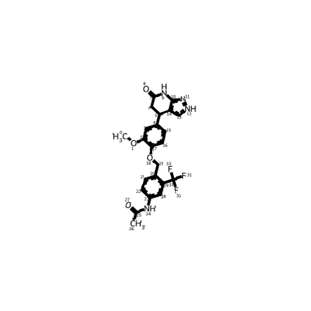 COc1cc(C2CC(=O)Nc3n[nH]cc32)ccc1OCc1ccc(NC(C)=O)cc1C(F)(F)F